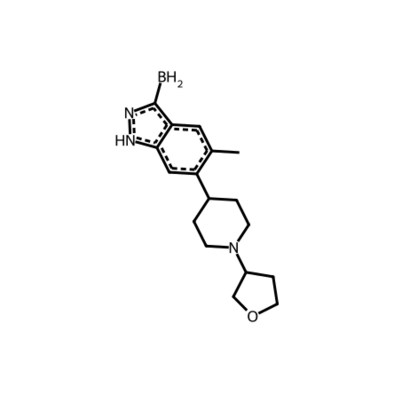 Bc1n[nH]c2cc(C3CCN(C4CCOC4)CC3)c(C)cc12